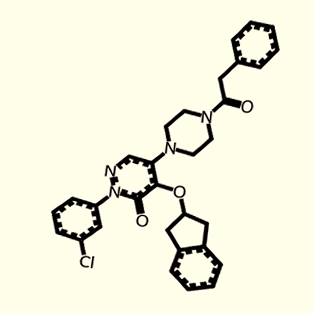 O=C(Cc1ccccc1)N1CCN(c2cnn(-c3cccc(Cl)c3)c(=O)c2OC2Cc3ccccc3C2)CC1